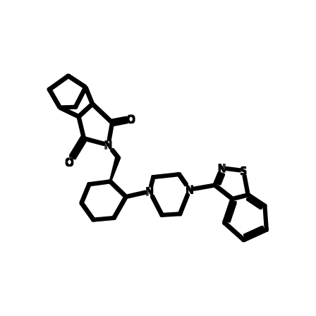 O=C1C2C3CCC(C3)C2C(=O)N1C[C@@H]1CCCCC1N1CCN(c2nsc3ccccc23)CC1